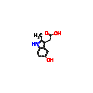 Cc1[nH]c2ccc(O)cc2c1CC(=O)O